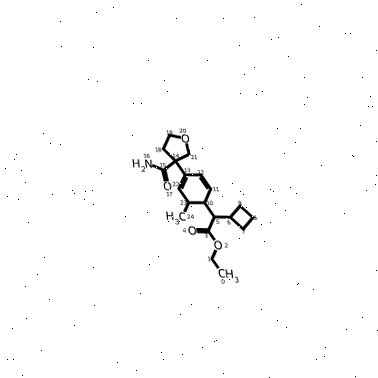 CCOC(=O)C(C1CCC1)C1C=CC(C2(C(N)=O)CCOC2)=CC1C